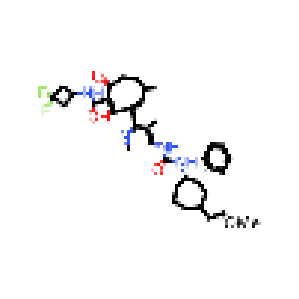 C/N=C(C(\C)=C\NC(=O)N[C@@H]1CCCC(CCOC)C[C@H]1c1ccccc1)/C1=C/C(C)CCC(=O)/C(C(O)NC2CC(F)(F)C2)=C\1